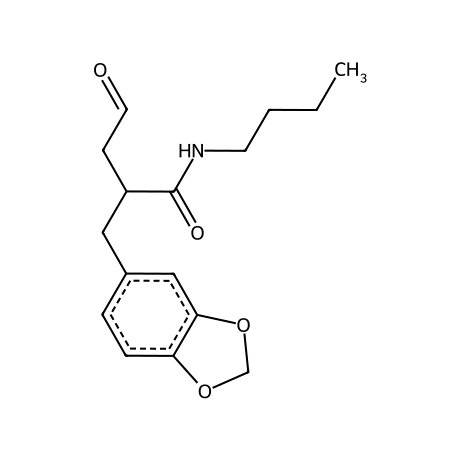 CCCCNC(=O)C(CC=O)Cc1ccc2c(c1)OCO2